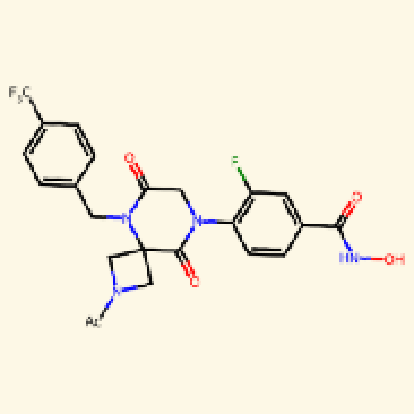 CC(=O)N1CC2(C1)C(=O)N(c1ccc(C(=O)NO)cc1F)CC(=O)N2Cc1ccc(C(F)(F)F)cc1